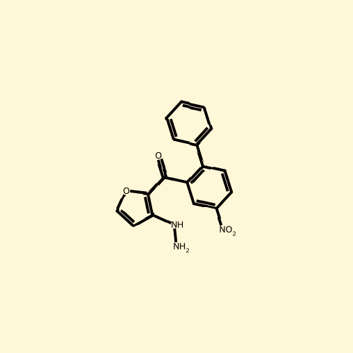 NNc1ccoc1C(=O)c1cc([N+](=O)[O-])ccc1-c1ccccc1